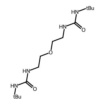 CC(C)(C)NC(=O)NCCOCCNC(=O)NC(C)(C)C